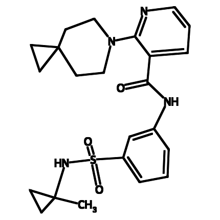 CC1(NS(=O)(=O)c2cccc(NC(=O)c3cccnc3N3CCC4(CC3)CC4)c2)CC1